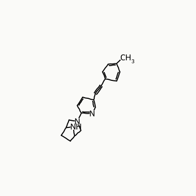 Cc1ccc(C#Cc2ccc(N3CC4CCC(C3)N4)nc2)cc1